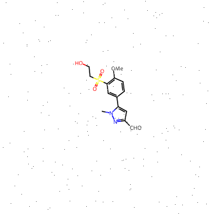 COc1ccc(-c2cc(C=O)nn2C)cc1S(=O)(=O)CCO